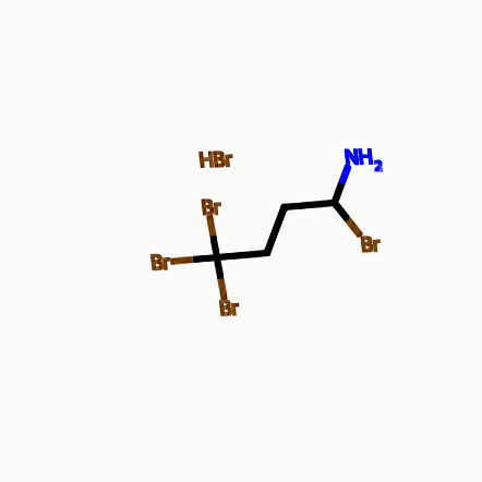 Br.NC(Br)CCC(Br)(Br)Br